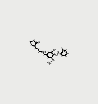 COc1cc(CNCCCN2CCCC2=O)cc(Br)c1OCc1ccccc1F